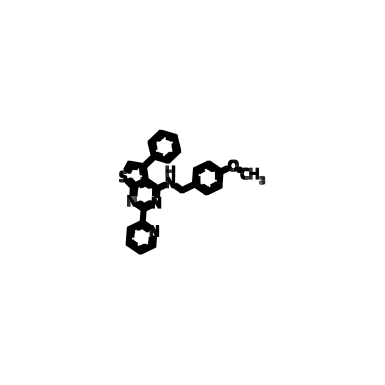 COc1ccc(CNc2nc(-c3ccccn3)nc3scc(-c4ccccc4)c23)cc1